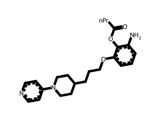 CCCC(=O)Oc1c(N)cccc1OCCCC1CCN(c2ccncc2)CC1